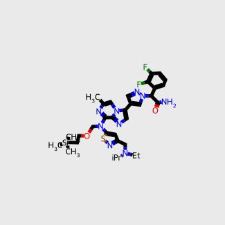 CCN(Cc1cc(N(COCC[Si](C)(C)C)c2nc(C)cn3c(-c4cnn(C(C(N)=O)c5cccc(F)c5F)c4)cnc23)sn1)C(C)C